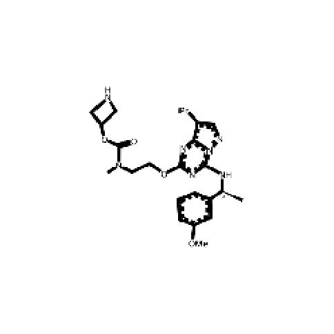 COc1cccc([C@H](C)Nc2nc(OCCN(C)C(=O)OC3CNC3)nc3c(C(C)C)cnn23)c1